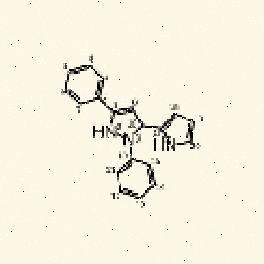 C1=C(c2ccccc2)NN(c2ccccc2)C1c1ccc[nH]1